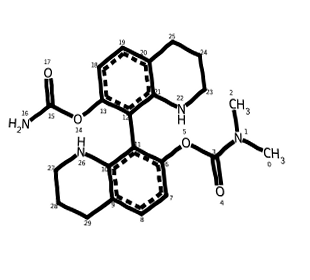 CN(C)C(=O)Oc1ccc2c(c1-c1c(OC(N)=O)ccc3c1NCCC3)NCCC2